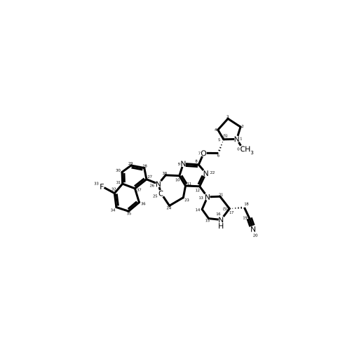 CN1CCC[C@H]1COc1nc2c(c(N3CCN[C@@H](CC#N)C3)n1)CCCN(c1cccc3c(F)cccc13)C2